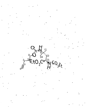 C#CCCCOC(=O)NC(C)(C)CC(NC(=O)OCC)C(=O)OCC